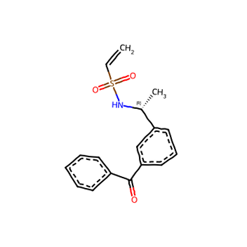 C=CS(=O)(=O)N[C@H](C)c1cccc(C(=O)c2ccccc2)c1